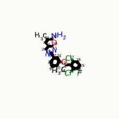 CC(=Cc1cnc(-c2cccc(OC(C)c3c(Cl)ccc(F)c3Cl)c2)nc1)C(N)=O